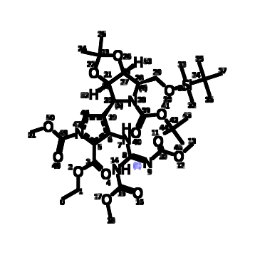 CCOC(=O)c1c(N/C(=N\C(=O)OC)NC(=O)OC)c([C@H]2[C@@H]3OC(C)(C)O[C@@H]3[C@@H](CO[Si](C)(C)C(C)(C)C)N2C(=O)OC(C)(C)C)cn1C(=O)OC